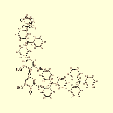 CC(C)(C)c1cccc(C(C)(C)C)c1[O-].CC(C)(C)c1cccc(C(C)(C)C)c1[O-].ClC(Cl)(Cl)Cl.[CH3][Al+2].[Cl][Ru+2][Cl].c1ccc(P(c2ccccc2)c2ccccc2)cc1.c1ccc(P(c2ccccc2)c2ccccc2)cc1.c1ccc(P(c2ccccc2)c2ccccc2)cc1